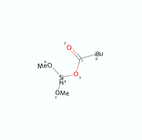 CCC(C)C(=O)O[SiH](OC)OC